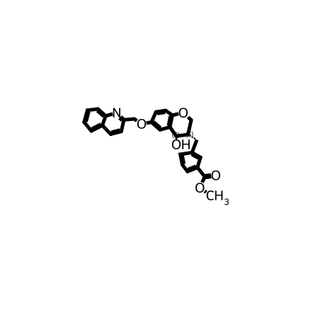 COC(=O)c1cccc(C[C@H]2COc3ccc(OCc4ccc5ccccc5n4)cc3[C@H]2O)c1